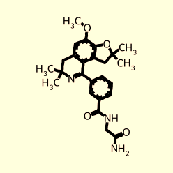 COc1cc2c(c3c1OC(C)(C)C3)C(c1cccc(C(=O)NCC(N)=O)c1)=NC(C)(C)C2